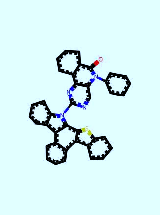 O=c1c2ccccc2c2nc(-n3c4ccccc4c4c5ccccc5c5c6ccccc6sc5c43)ncc2n1-c1ccccc1